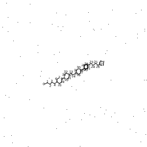 CCCCC[C@H]1CC[C@H]([C@H]2CC[C@H](CCC3CCC(c4ccc(CCCCCl)cc4)CC3)CC2)CC1